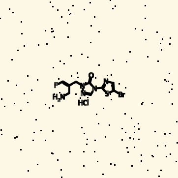 Cl.NC/C(=C\F)Cn1ncn(-c2ncc(Br)s2)c1=O